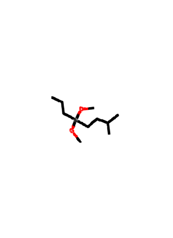 CCC[Si](CCC(C)C)(OC)OC